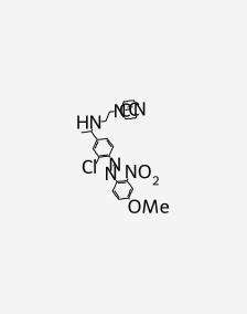 COc1ccc(N=Nc2ccc(C(C)NCC[N+]34CCN(CC3)CC4)cc2Cl)c([N+](=O)[O-])c1